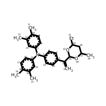 C=C(c1ccc(N(c2ccc(C)c(C)c2)c2ccc(C)c(C)c2)cc1)C1OC(C)CC(CC)O1